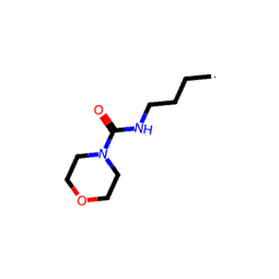 [CH2]CCCNC(=O)N1CCOCC1